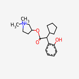 C[N+]1(C)CCC(OC(=O)C(c2ccccc2O)C2CCCC2)C1